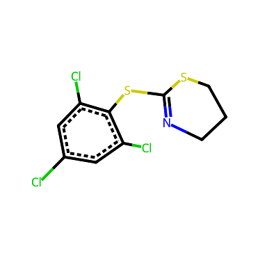 Clc1cc(Cl)c(SC2=NCCCS2)c(Cl)c1